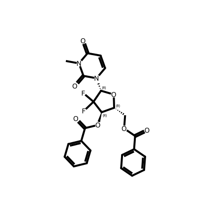 Cn1c(=O)ccn([C@@H]2O[C@H](COC(=O)c3ccccc3)[C@@H](OC(=O)c3ccccc3)C2(F)F)c1=O